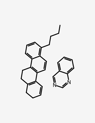 CCCCc1cccc2c3c(ccc12)C1=C(CCC=C1)CC3.c1ccc2ncncc2c1